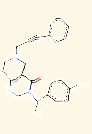 CC(c1ccc(C(=O)O)cc1)N1CNC2=C(CN(CC#Cc3ccccc3)CC2)C1=O